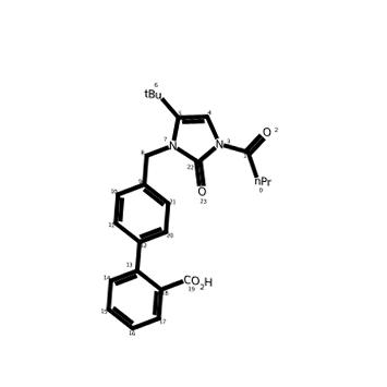 CCCC(=O)n1cc(C(C)(C)C)n(Cc2ccc(-c3ccccc3C(=O)O)cc2)c1=O